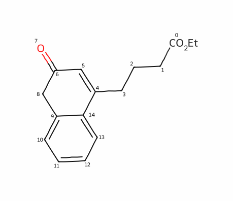 CCOC(=O)CCCC1=CC(=O)Cc2ccccc21